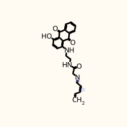 C=C/C=C\C=N\CC(=O)NCCNc1ccc(O)c2c1C(=O)c1ccccc1C2=O